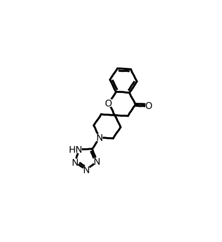 O=C1CC2(CCN(c3nnn[nH]3)CC2)Oc2ccccc21